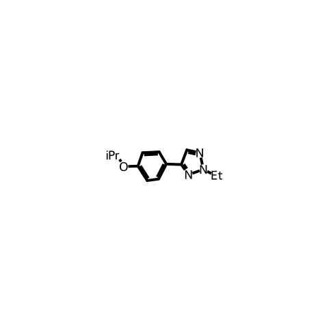 CCn1ncc(-c2ccc(OC(C)C)cc2)n1